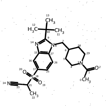 CC(=O)N1CCC(Cn2c(C(C)(C)C)nc3cc(S(=O)(=O)C(C)C#N)ccc32)CC1